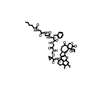 CCCCCC(=O)NCC(=O)NCC(=O)N[C@@H](Cc1ccccc1)C(=O)NCC(=O)NCOC1(C(=O)N[C@H]2CCc3c(C)c(F)cc4nc5c(c2c34)CC2CCC(=O)C3=C(/C=C/52)[C@@](O)(CC)C(=O)OC3)CC1